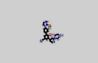 CN1CCN(c2ccc(-c3cc(C#N)cc(-c4ccnc(N5CCNCC5)c4)c3O)cc2Cl)C1=O